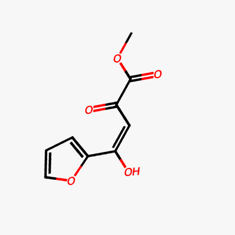 COC(=O)C(=O)/C=C(/O)c1ccco1